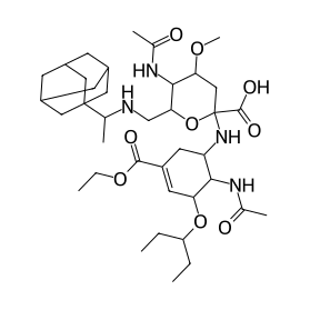 CCOC(=O)C1=CC(OC(CC)CC)C(NC(C)=O)C(NC2(C(=O)O)CC(OC)C(NC(C)=O)C(CNC(C)C34CC5CC(CC(C5)C3)C4)O2)C1